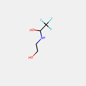 OCCNC(O)C(F)(F)F